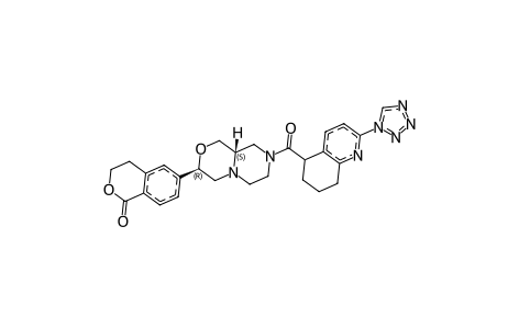 O=C1OCCc2cc([C@@H]3CN4CCN(C(=O)C5CCCc6nc(-n7cnnn7)ccc65)C[C@H]4CO3)ccc21